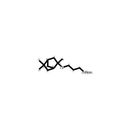 CCCCCCCCCCCCSC1(C)CC2CC1CC2(C)C